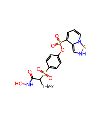 CCCCCCC(C(=O)NO)S(=O)(=O)c1ccc(OS(=O)(=O)C2=CC=CN3SNC=C23)cc1